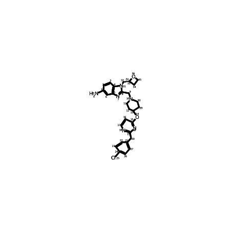 Nc1ccc2c(c1)nc(CN1CCC(Oc3ccnc(Cc4ccc(Cl)cc4)n3)CC1)n2C[C@@H]1CCO1